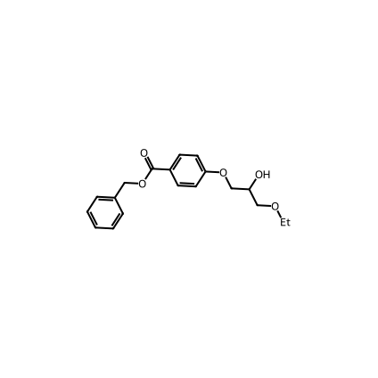 CCOCC(O)COc1ccc(C(=O)OCc2ccccc2)cc1